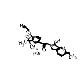 Br.CCc1ccc2c(n1)C(=N)N(CC(=O)c1ccc(OCC#N)c(C(C)(C)C)c1)C2